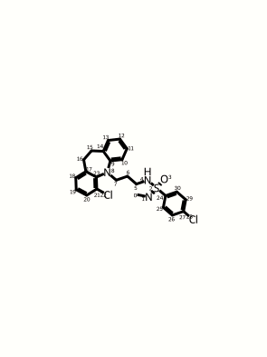 CN=S(=O)(NCCCN1c2ccccc2CCc2cccc(Cl)c21)c1ccc(Cl)cc1